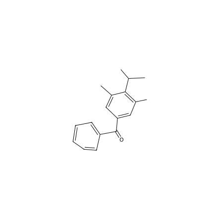 Cc1cc(C(=O)c2ccccc2)cc(C)c1C(C)C